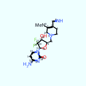 CNC1=C(C=N)CCN(C[C@H]2O[C@@H](n3ccc(N)nc3=O)C(F)(F)[C@@H]2O)C1